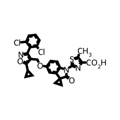 Cc1sc(N2C(=O)C3(CC3)c3cc(OCc4c(-c5c(Cl)cccc5Cl)noc4C4CC4)ccc32)nc1C(=O)O